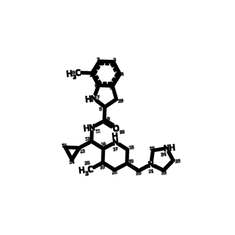 Cc1cccc2c1NC(C(=O)NC(C1CC1)C1NCC(CN3CCNC3)CC1C)C2